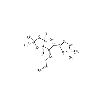 C=CCO[C@H]1[C@H]2OC(C)(C)O[C@H]2O[C@@H]1[C@H]1COC(C)(C)O1